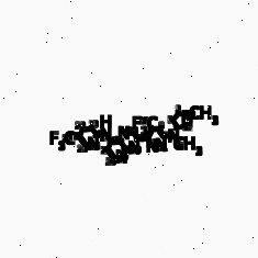 CN1CCC(N(C)c2cc(C(F)(F)F)c(-c3cnc4c(Nc5ccc(C(F)(F)F)cn5)ccnc4n3)nn2)C1